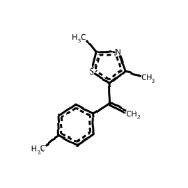 C=C(c1ccc(C)cc1)c1sc(C)nc1C